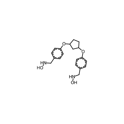 ONCc1ccc(OC2CCC(Oc3ccc(CNO)cc3)C2)cc1